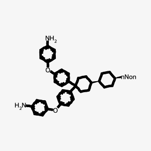 CCCCCCCCC[C@H]1CC[C@@H](C2CCC(c3ccc(Oc4ccc(N)cc4)cc3)(c3ccc(Oc4ccc(N)cc4)cc3)CC2)CC1